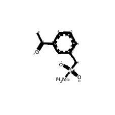 CC(=O)c1cccc(CS(N)(=O)=O)c1